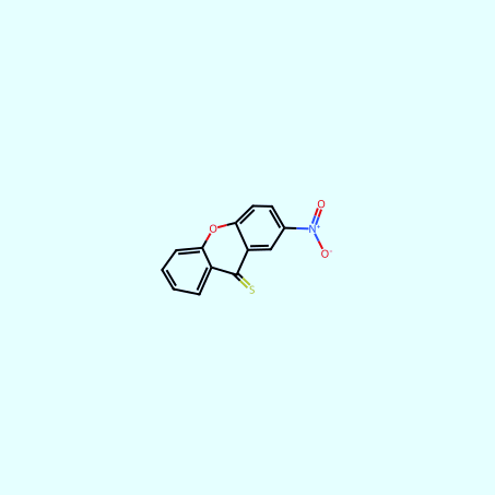 O=[N+]([O-])c1ccc2oc3ccccc3c(=S)c2c1